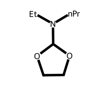 CCCN(CC)C1OCCO1